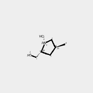 C[C@@H]1CN[C@@H](CO)C1.Cl